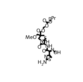 CCCOC(=O)OCOC(=O)C1(COC)CS[C@@H]2C(NC(=O)C(=NO)c3csc(N)n3)C(=O)N2C1